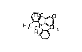 Cc1ccccc1[P+](C)(c1ccccc1C)c1ccccc1C.[Cl-]